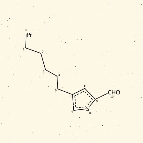 CC(C)CCCCCc1csc(C=O)c1